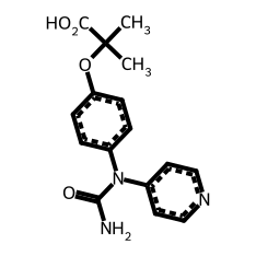 CC(C)(Oc1ccc(N(C(N)=O)c2ccncc2)cc1)C(=O)O